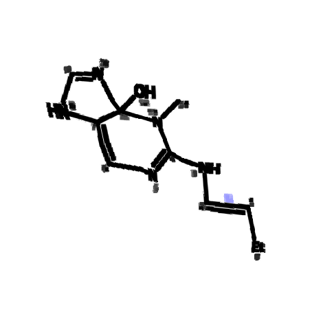 CC/C=C/NC1=NC=C2NC=NC2(O)N1C